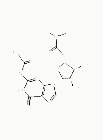 CC(=O)O[C@@H]1[C@H](OC(C)=O)[C@@H](CC(=O)N(C)C)O[C@H]1n1cnc2c(=O)[nH]c(NC(=O)C(C)C)nc21